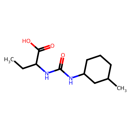 CCC(NC(=O)NC1CCCC(C)C1)C(=O)O